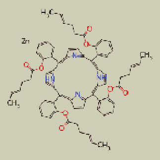 CC=CCCC(=O)Oc1ccccc1-c1c2nc(c(-c3ccccc3OC(=O)CCC=CC)c3ccc([nH]3)c(-c3ccccc3OC(=O)CCC=CC)c3nc(c(-c4ccccc4OC(=O)CCC=CC)c4ccc1[nH]4)C=C3)C=C2.[Zn]